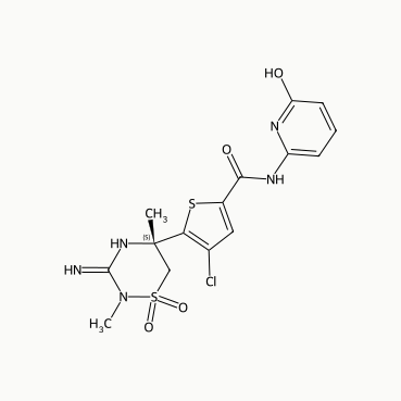 CN1C(=N)N[C@](C)(c2sc(C(=O)Nc3cccc(O)n3)cc2Cl)CS1(=O)=O